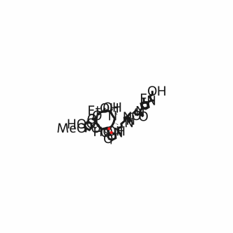 CC[C@H]1OC(=O)[C@H](C)[C@@H](O[C@H]2C[C@@](C)(OC)[C@@H](O)[C@H](C)O2)[C@H](C)[C@@H](O[C@@H]2O[C@H](C)C[C@H](N(C)CCCc3cn(C[C@H]4CN(c5ccc(N(C)CCO)c(F)c5)C(=O)O4)nn3)[C@H]2O)[C@](C)(O)C[C@@H](C)CN(C)[C@H](C)[C@@H](O)[C@]1(C)O